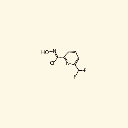 ON=C(Cl)c1cccc(C(F)F)n1